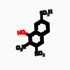 O=[N+]([O-])c1cc2ccc(S(=O)(=O)O)cc2c(O)c1[N+](=O)[O-]